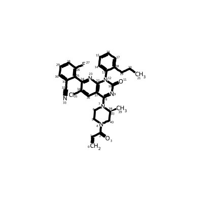 C=CC(=O)N1CCN(c2nc(=O)n(-c3ccccc3CCC)c3nc(-c4c(F)cccc4C#N)c(Cl)cc23)[C@@H](C)C1